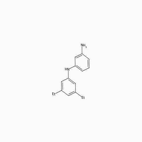 CCc1cc(CC)cc(Nc2cccc(N)c2)c1